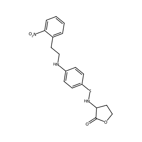 O=C1OCCC1NSc1ccc(NCCc2ccccc2[N+](=O)[O-])cc1